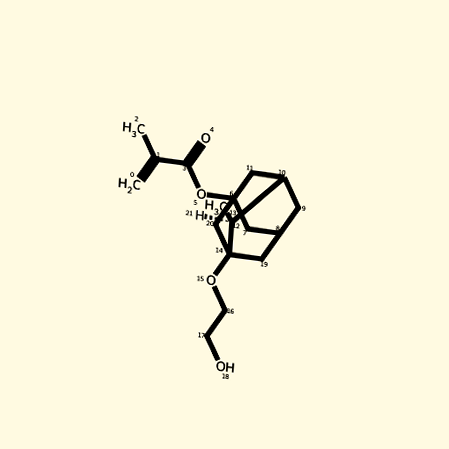 C=C(C)C(=O)OC12CC3CC(C1)[C@H](C)C(OCCO)(C3)C2